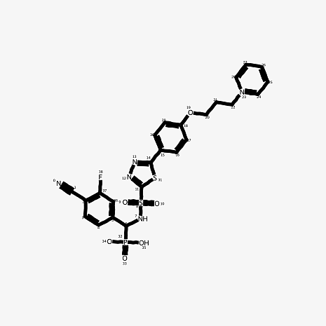 N#Cc1ccc(C(NS(=O)(=O)c2nnc(-c3ccc(OCCC[n+]4ccccc4)cc3)s2)P(=O)([O-])O)cc1F